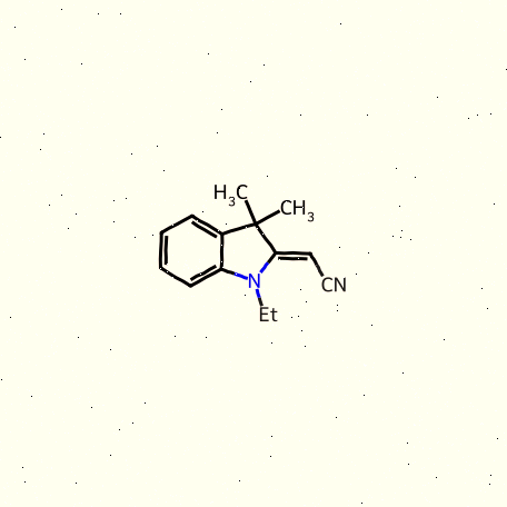 CCN1C(=CC#N)C(C)(C)c2ccccc21